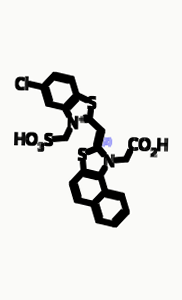 O=C(O)CN1/C(=C/c2sc3ccc(Cl)cc3[n+]2CS(=O)(=O)O)Sc2ccc3ccccc3c21